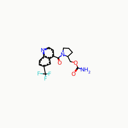 NC(=O)OCC1CCCN1C(=O)c1ccnc2ccc(C(F)(F)F)cc12